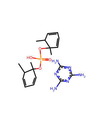 CC1C=CC=CC1(C)OP(=O)(O)OC1(C)C=CC=CC1C.Nc1nc(N)nc(N)n1